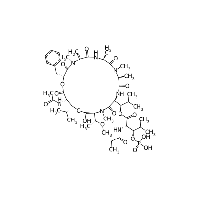 C=C1C(=O)N[C@@H](C)C(=O)N(C)[C@@H](C)C(=O)N[C@@H]([C@H](OC(=O)[C@@H](NC(=O)CC)[C@H](OP(=O)(O)O)C(C)C)C(C)C)C(=O)N(C)[C@@H]([C@@H](C)OC)C(O)O[C@H](C(C)C)[C@H](NC(C)=O)C(=O)O[C@H](Cc2ccccc2)C(=O)N1C